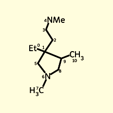 CCC1(CCNC)CN(C)CC1C